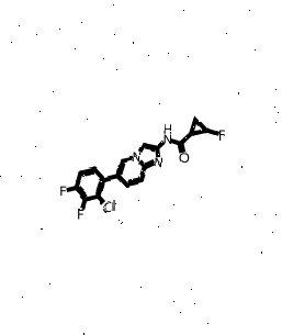 O=C(Nc1cn2cc(-c3ccc(F)c(F)c3Cl)ccc2n1)C1CC1F